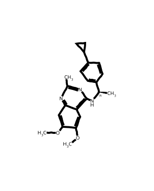 COc1cc2nc(C)nc(N[C@H](C)c3ccc(C4CC4)cc3)c2cc1OC